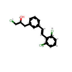 OC(CCl)Cc1cccc(C=Cc2c(Cl)cccc2Cl)c1